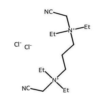 CC[N+](CC)(CC#N)CCC[N+](CC)(CC)CC#N.[Cl-].[Cl-]